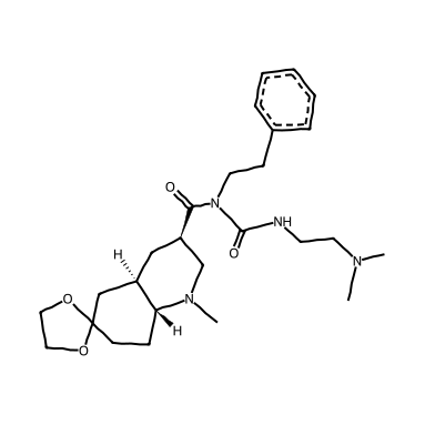 CN(C)CCNC(=O)N(CCc1ccccc1)C(=O)[C@@H]1C[C@@H]2CC3(CC[C@H]2N(C)C1)OCCO3